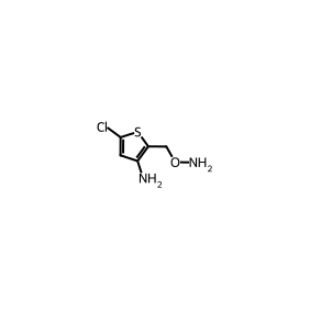 NOCc1sc(Cl)cc1N